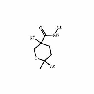 CCNC(=O)C1(C#N)CCC(C)(C(C)=O)OC1